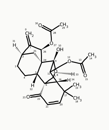 C=C1[C@@H]2CC[C@H]3[C@@]45CO[C@](O)([C@@H](OC(C)=O)[C@@H]4C(C)(C)C=CC5=O)[C@]3(C2)[C@@H]1OC(C)=O